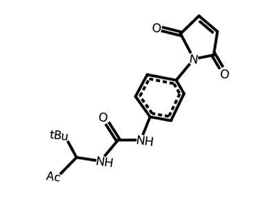 CC(=O)C(NC(=O)Nc1ccc(N2C(=O)C=CC2=O)cc1)C(C)(C)C